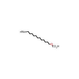 CCCCCCCCCCCCCCCCCCCCCOC(=O)O